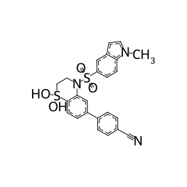 Cn1ccc2cc(S(=O)(=O)N3CCS(O)(O)c4ccc(-c5ccc(C#N)cc5)cc43)ccc21